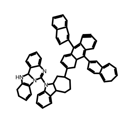 c1ccc2c(c#1)=C(c1ccc3ccccc3c1)C1=CC=C(C3CCCC4c5ccccc5N(C5=Nc6ccccc6C6NC7=C(C=CCC7)N56)C4C3)CC1C=2c1ccc2c(c1)=CC=CCC=2